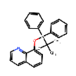 CC(C)(C)[Si](Oc1cccc2cccnc12)(c1ccccc1)c1ccccc1